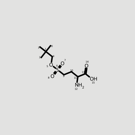 CC(C)(C)COS(=O)(=O)CCC(N)C(=O)O